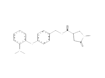 CCN1CC(C(=O)NCc2ccc(Nc3ccccc3N(CC)CC)cc2)CC1=O